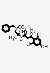 CC(C)(CN(Cc1ccccc1)C(=O)O)NC(=O)CC(N)c1c(Cl)cc(O)cc1Cl